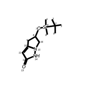 CC(C)(C)[Si](C)(C)OC1Cc2cc(=O)[nH]n2C1